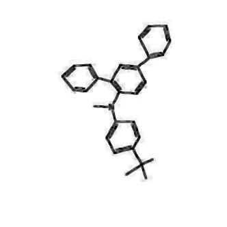 CN(c1ccc(C(C)(C)C)cc1)c1ccc(-c2ccccc2)cc1-c1ccccc1